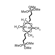 CO[Si](CCC[Si]1(C)O[SiH](C)O[Si](C)(CCC[Si](OC)(OC)OC)O[SiH](C)O1)(OC)OC